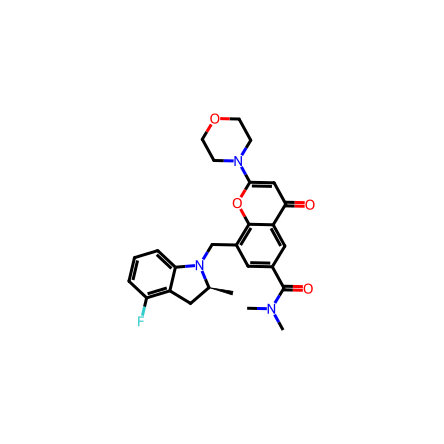 C[C@H]1Cc2c(F)cccc2N1Cc1cc(C(=O)N(C)C)cc2c(=O)cc(N3CCOCC3)oc12